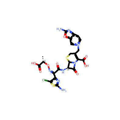 C[C@H](O/N=C(\C(=O)N[C@@H]1C(=O)N2C(C(=O)O)=C(C[n+]3ccc4nc(N)oc4c3)CSC12)c1nc(N)sc1Cl)C(=O)O